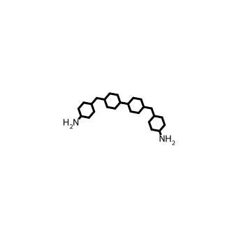 NC1CCC(CC2CCC(C3CCC(CC4CCC(N)CC4)CC3)CC2)CC1